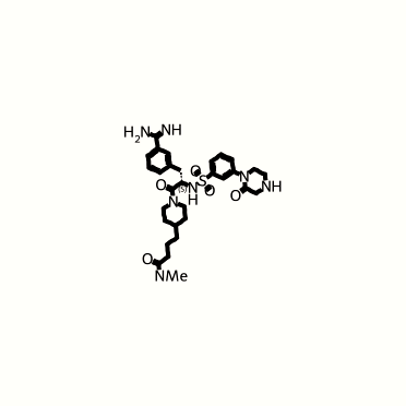 CNC(=O)CCCC1CCN(C(=O)[C@H](Cc2cccc(C(=N)N)c2)NS(=O)(=O)c2cccc(N3CCNCC3=O)c2)CC1